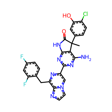 CC1(c2ccc(Cl)c(O)c2)C(=O)Nc2nc(-c3cn4ccnc4c(Cc4ccc(F)cc4F)n3)nc(N)c21